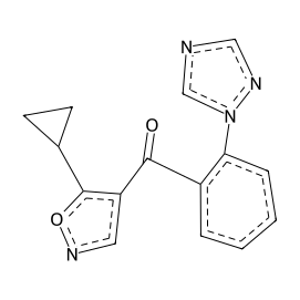 O=C(c1ccccc1-n1cncn1)c1cnoc1C1CC1